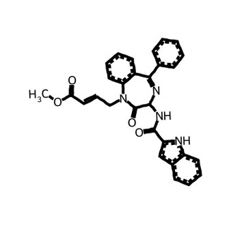 COC(=O)/C=C/CN1C(=O)C(NC(=O)c2cc3ccccc3[nH]2)N=C(c2ccccc2)c2ccccc21